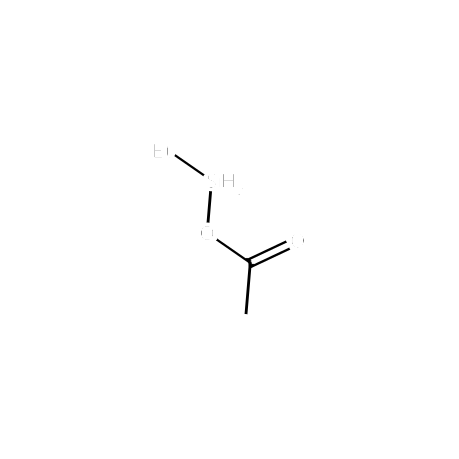 CC[SiH2]OC(C)=O